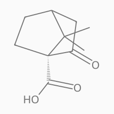 CC1(C)C2CC[C@]1(C(=O)O)C(=O)C2